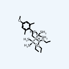 CCO[SiH](OCC)[Si](CCc1c(C)cc(OC)cc1C)([Si]([SiH3])([SiH3])[SiH3])[Si]([SiH3])([SiH3])OCC